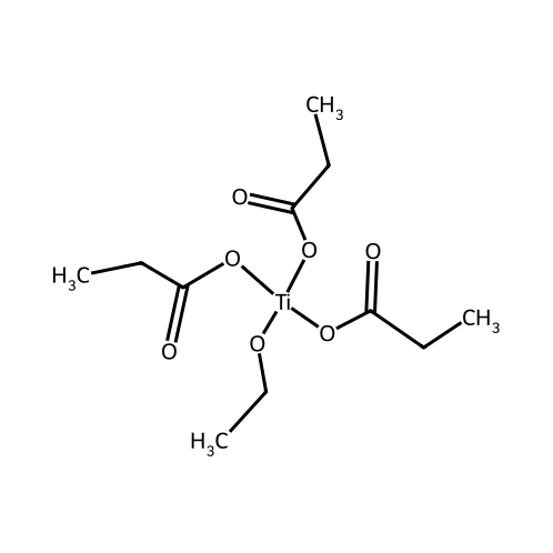 CC[O][Ti]([O]C(=O)CC)([O]C(=O)CC)[O]C(=O)CC